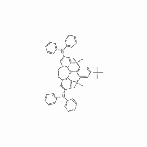 CC(C)(C)c1cc(C(C)(C)C)c(B2c3ccc(N(c4ccccc4)c4ccccc4)cc3C=Cc3cc(N(c4ccccc4)c4ccccc4)ccc32)c(C(C)(C)C)c1